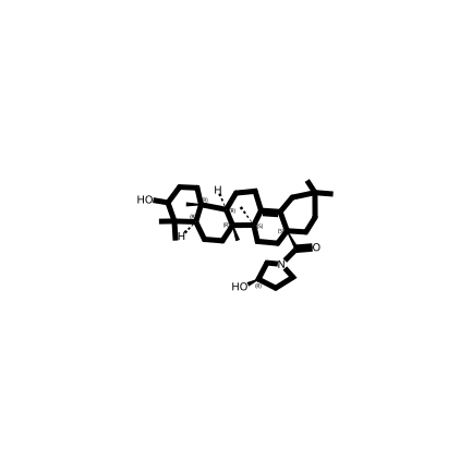 CC1(C)CC[C@]2(C(=O)N3CC[C@@H](O)C3)CC[C@]3(C)C(=C2C1)CC[C@@H]1[C@@]2(C)CCC(O)C(C)(C)[C@@H]2CC[C@]13C